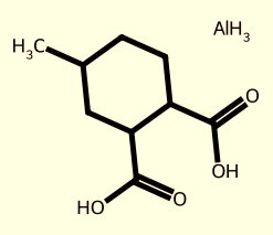 CC1CCC(C(=O)O)C(C(=O)O)C1.[AlH3]